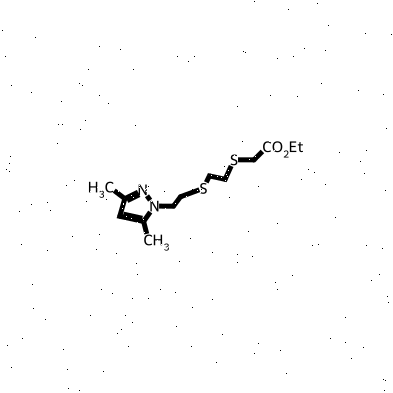 CCOC(=O)CSCCSCCn1nc(C)cc1C